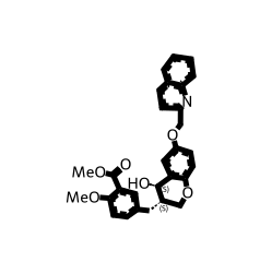 COC(=O)c1cc(C[C@H]2COc3ccc(OCc4ccc5ccccc5n4)cc3[C@H]2O)ccc1OC